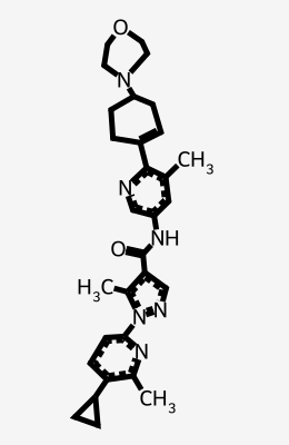 Cc1cc(NC(=O)c2cnn(-c3ccc(C4CC4)c(C)n3)c2C)cnc1C1=CCC(N2CCOCC2)CC1